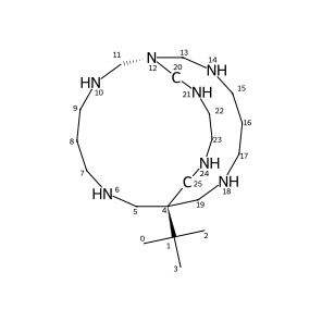 CC(C)(C)[C@]12CNCCCNC[N@](CNCCCNC1)CNCCNC2